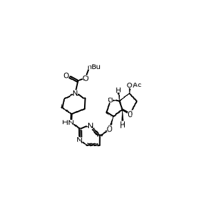 CCCCOC(=O)N1CCC(Nc2nccc(O[C@H]3CO[C@H]4[C@@H]3OC[C@@H]4OC(C)=O)n2)CC1